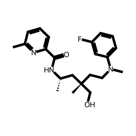 Cc1cccc(C(=O)N[C@@H](C)C[C@@](C)(CO)CCN(C)c2cccc(F)c2)n1